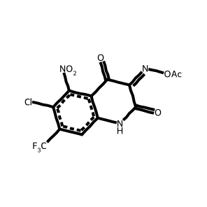 CC(=O)ON=C1C(=O)Nc2cc(C(F)(F)F)c(Cl)c([N+](=O)[O-])c2C1=O